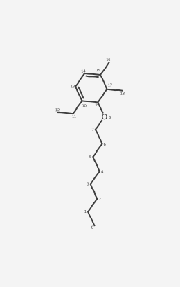 CCCCCCCCOC1C(CC)=CC=C(C)C1C